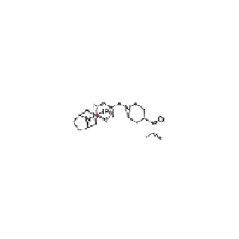 C=C(C)C(=O)C1CCN(Cc2cnc(N3C4CCC3CN(C(C)C)C4)nc2)CC1